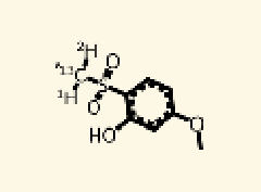 [1H][13C]([2H])(C)S(=O)(=O)c1ccc(OC)cc1O